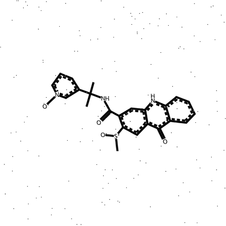 C[S+]([O-])c1cc2c(=O)c3ccccc3[nH]c2cc1C(=O)NC(C)(C)c1ccc[n+]([O-])c1